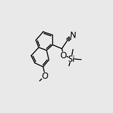 COc1ccc2cccc(C(C#N)O[Si](C)(C)C)c2c1